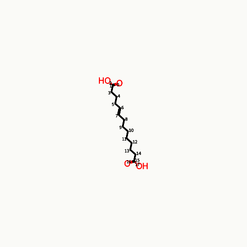 O=C(O)CCCC=CCCCCCCCC(=O)O